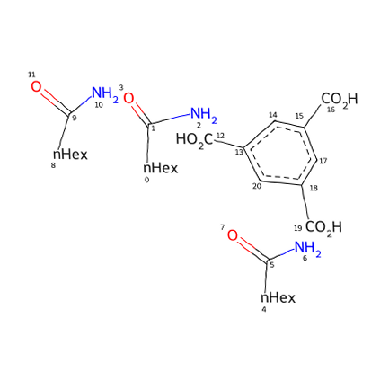 CCCCCCC(N)=O.CCCCCCC(N)=O.CCCCCCC(N)=O.O=C(O)c1cc(C(=O)O)cc(C(=O)O)c1